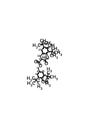 CC(C)(C)c1cc(COC(=O)C(Cc2cc(C(C)(C)C)c(O)c(C(C)(C)C)c2)C(=O)O)cc(C(C)(C)C)c1O